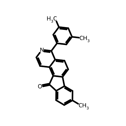 Cc1cc(C)cc(-c2nccc3c4c(ccc23)-c2cc(C)ccc2C4=O)c1